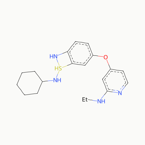 CCNc1cc(Oc2ccc3c(c2)[SH](NC2CCCCC2)N3)ccn1